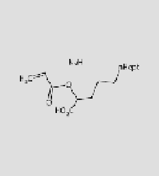 C=CC(=O)OC(CCCCCCCCCC)C(=O)O.[NaH]